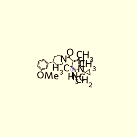 C=N/C(NC1(C)CC1)=C(\C)C(C(=O)N1CCC(c2cccc(OC)c2)CC1)=C(C)C